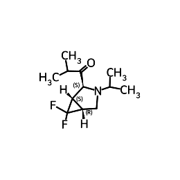 CC(C)C(=O)[C@@H]1[C@@H]2[C@H](CN1C(C)C)C2(F)F